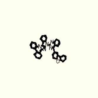 c1ccc2c(-c3ccc4oc5ccccc5c4c3)nc(-n3c4ccccc4c4c3nc3c5ccccc5c5ccccc5n34)nc2c1